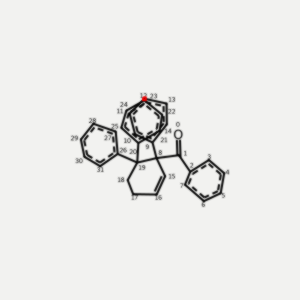 O=C(c1ccccc1)C1(c2ccccc2)C=CCCC1(c1ccccc1)c1ccccc1